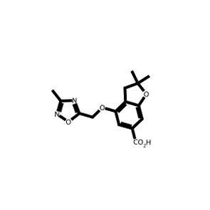 Cc1noc(COc2cc(C(=O)O)cc3c2CC(C)(C)O3)n1